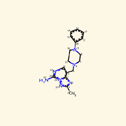 Cc1nc2c(CN3CCN(c4ccccc4)CC3)cnc(N)n2n1